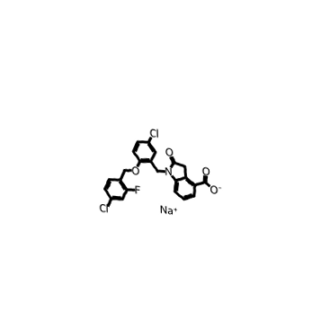 O=C([O-])c1cccc2c1CC(=O)N2Cc1cc(Cl)ccc1OCc1ccc(Cl)cc1F.[Na+]